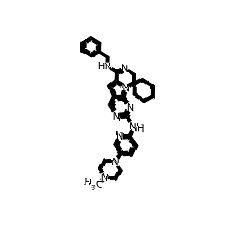 CN1CCN(c2ccc(Nc3ncc4cc5n(c4n3)C3(CCCCC3)CN=C5NCc3ccccc3)nc2)CC1